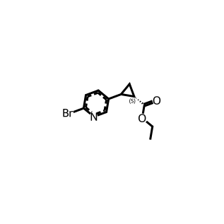 CCOC(=O)[C@H]1CC1c1ccc(Br)nc1